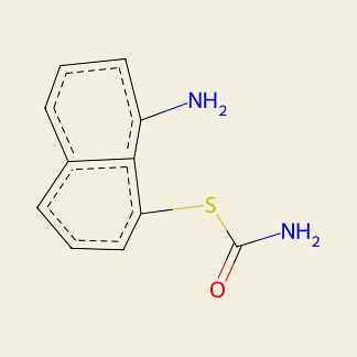 NC(=O)Sc1cccc2cccc(N)c12